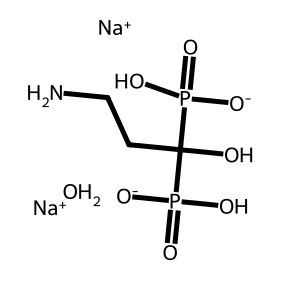 NCCC(O)(P(=O)([O-])O)P(=O)([O-])O.O.[Na+].[Na+]